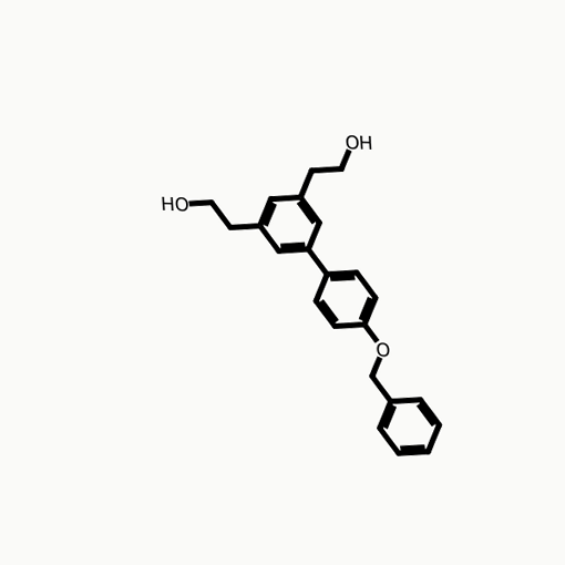 OCCc1cc(CCO)cc(-c2ccc(OCc3ccccc3)cc2)c1